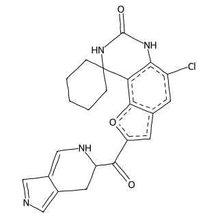 O=C1Nc2c(Cl)cc3cc(C(=O)C4CC5=CN=CC5=CN4)oc3c2C2(CCCCC2)N1